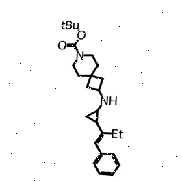 CC/C(=C\c1ccccc1)C1CC1NC1CC2(CCN(C(=O)OC(C)(C)C)CC2)C1